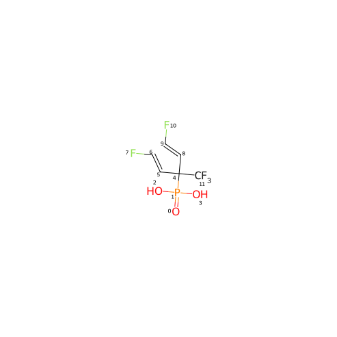 O=P(O)(O)C(C=CF)(C=CF)C(F)(F)F